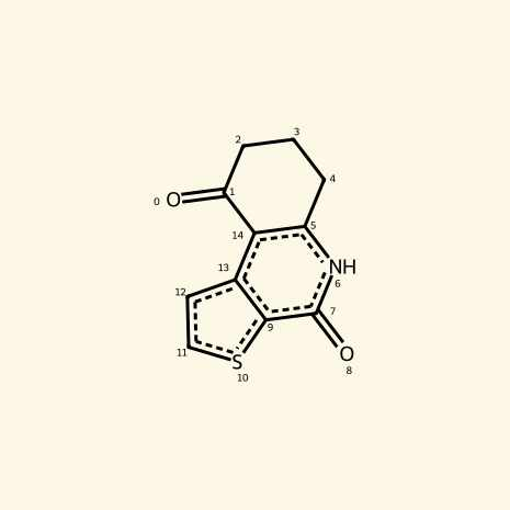 O=C1CCCc2[nH]c(=O)c3sccc3c21